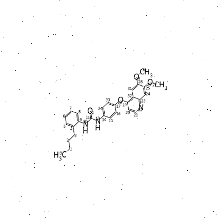 CCCCc1ccccc1NC(=O)Nc1ccc(Oc2ccnc3cc(OC)c(OC)cc23)cc1